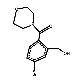 O=C(c1ccc(Br)cc1CO)N1CCOCC1